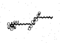 CCCCCCCCCC[C@H](OCOC)[C@@H]1CC[C@@H]([C@@H]2CC[C@@H](C(CCCCCCCCCCC(O)c3c(C)c(OC)c(OC)c(OC)c3OC)OCOC)O2)O1